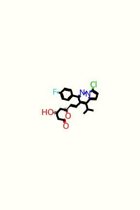 CC(C)c1c(C=C[C@@H]2C[C@@H](O)CC(=O)O2)c(-c2ccc(F)cc2)nn2c(Cl)ccc12